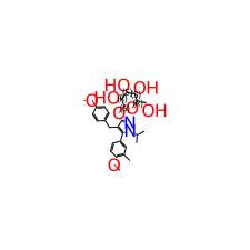 COc1ccc(Cc2c(O[C@@H]3O[C@H](CO)[C@@H](O)[C@H](O)[C@H]3O)nn(C(C)C)c2-c2ccc(OC)c(C)c2)cc1